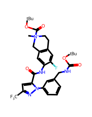 CC(C)(C)OC(=O)NCc1cccc(-n2nc(C(F)(F)F)cc2C(=O)Nc2cc3c(cc2F)CC[N+](C)(C(=O)OC(C)(C)C)C3)c1